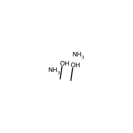 CO.CO.N.N